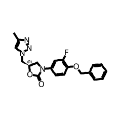 Cc1cn(C[C@H]2CN(c3ccc(OCc4ccccc4)c(F)c3)C(=O)O2)nn1